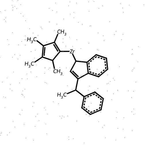 CC1=C(C)C(C)[C]([Zr][CH]2C=C(C(C)c3ccccc3)c3ccccc32)=C1C